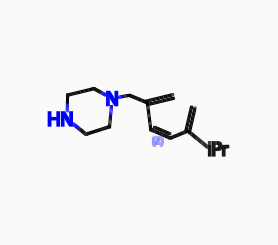 C=C(/C=C\C(=C)C(C)C)CN1CCNCC1